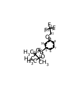 CC1(C)OB(c2cccc(OCC(F)(F)F)c2)OC1(C)C